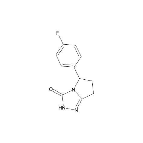 O=c1[nH]nc2n1C(c1ccc(F)cc1)CC2